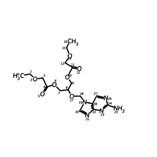 CCOCC(=O)OCC(COC(=O)COCC)OCn1cnc2nc(N)ncc21